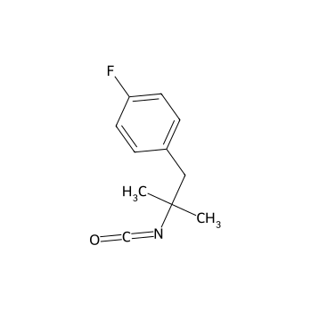 CC(C)(Cc1ccc(F)cc1)N=C=O